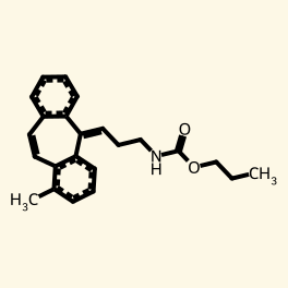 CCCOC(=O)NCCC=C1c2ccccc2C=Cc2c(C)cccc21